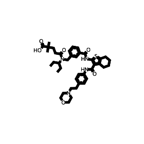 CCC(CC)N(Cc1cccc(C(=O)Nc2sc3c(c2C(=O)Nc2ccc(CCN4CCOCC4)cc2)CCCC3)c1)C(=O)CCC(C)(C)C(=O)O